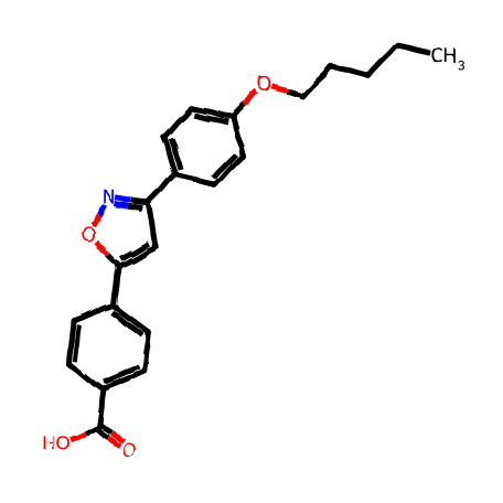 CCCCCOc1ccc(-c2cc(-c3ccc(C(=O)O)cc3)on2)cc1